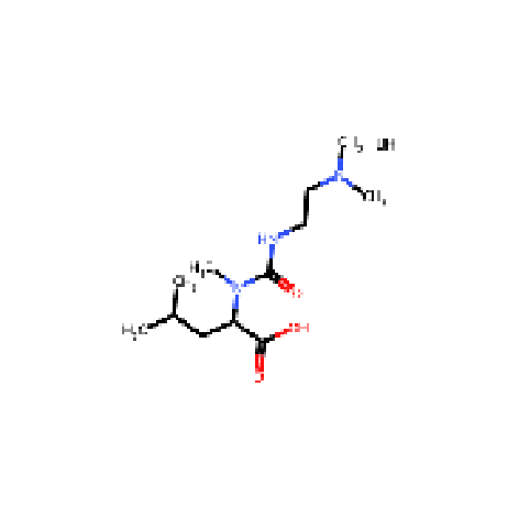 CC(C)CC(C(=O)O)N(C)C(=O)NCCN(C)C.[LiH]